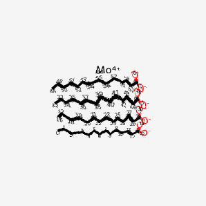 CCCCCCCCCCCC=CC(=O)[O-].CCCCCCCCCCCC=CC(=O)[O-].CCCCCCCCCCCC=CC(=O)[O-].CCCCCCCCCCCC=CC(=O)[O-].[Mo+4]